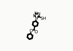 O=C(Oc1ccccc1)c1ccc(-n2nnnc2S)cc1